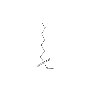 COS(=S)(=S)SSSSSOI